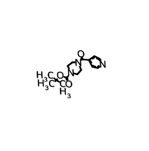 CC(C)(C)OC(=O)N1CCN(C(=O)c2ccncc2)CC1